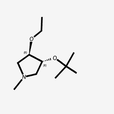 CCO[C@@H]1CN(C)C[C@H]1OC(C)(C)C